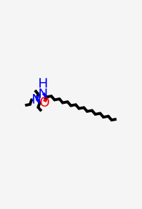 CCCCCCCCCCCCCCCCCC(=O)NC(C)N(CCC)CCC